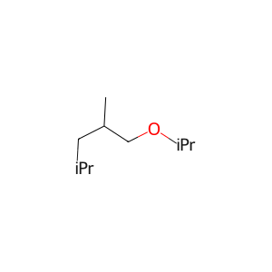 CC(C)CC(C)COC(C)C